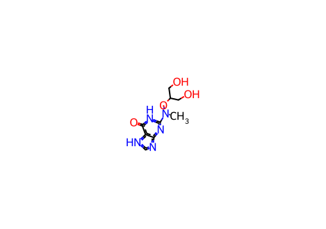 CN(OC(CO)CO)c1nc2nc[nH]c2c(=O)[nH]1